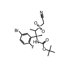 CC([C@](C)(NC(=O)OC(C)(C)C)c1cc(Br)ccc1F)S(=O)(=O)CC#N